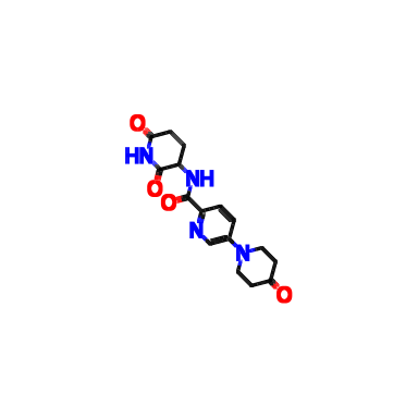 O=C1CCN(c2ccc(C(=O)NC3CCC(=O)NC3=O)nc2)CC1